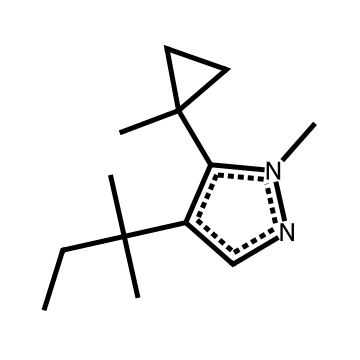 CCC(C)(C)c1cnn(C)c1C1(C)CC1